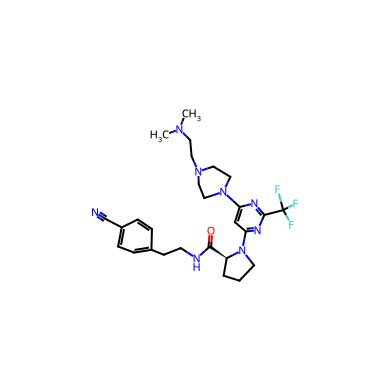 CN(C)CCN1CCN(c2cc(N3CCC[C@H]3C(=O)NCCc3ccc(C#N)cc3)nc(C(F)(F)F)n2)CC1